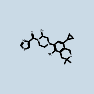 CCC1CN(c2cc(C3CC3)c3c(c2C#N)CC(C)(C)OC3)CCN1C(=O)c1cscn1